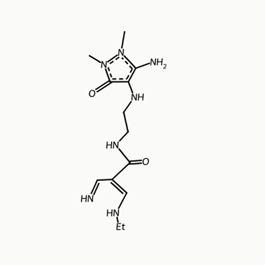 CCN/C=C(\C=N)C(=O)NCCNc1c(N)n(C)n(C)c1=O